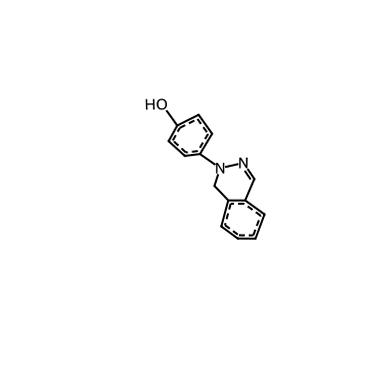 Oc1ccc(N2Cc3ccccc3C=N2)cc1